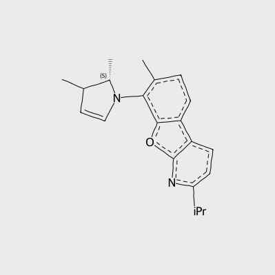 Cc1ccc2c(oc3nc(C(C)C)ccc32)c1N1C=CC(C)[C@@H]1C